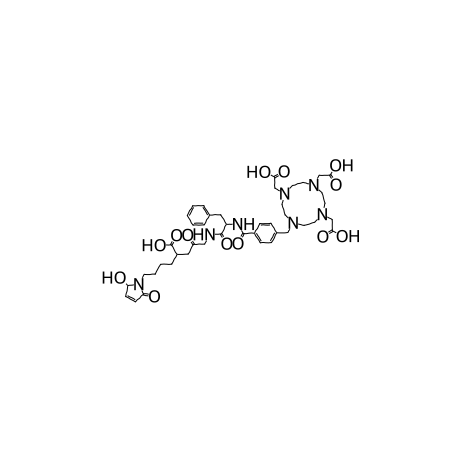 O=C(O)CN1CCN(CC(=O)O)CCN(Cc2ccc(C(=O)NC(Cc3ccccc3)C(=O)NCC(=O)CC(CCCCN3C(=O)C=CC3O)C(=O)O)cc2)CCN(CC(=O)O)CC1